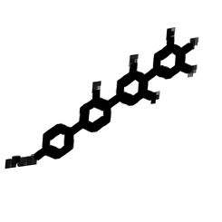 CCCCCc1ccc(-c2ccc(-c3cc(F)c(-c4cc(F)c(F)c(F)c4)c(F)c3)c(F)c2)cc1